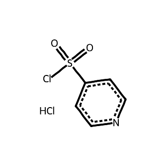 Cl.O=S(=O)(Cl)c1ccncc1